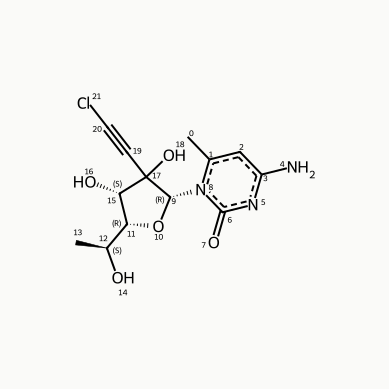 Cc1cc(N)nc(=O)n1[C@@H]1O[C@H]([C@H](C)O)[C@H](O)C1(O)C#CCl